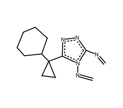 C=Nc1nnc(C2(C3CCCCC3)CC2)n1N=C